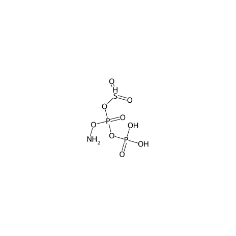 NOP(=O)(O[SH](=O)=O)OP(=O)(O)O